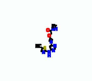 CC(C)NC(=O)COC1CN(c2cc(Nc3ncc(C#N)s3)ncn2)C1